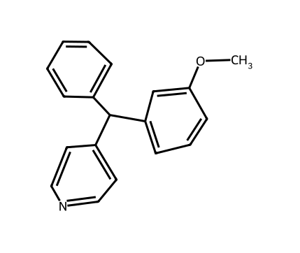 COc1cccc(C(c2ccccc2)c2ccncc2)c1